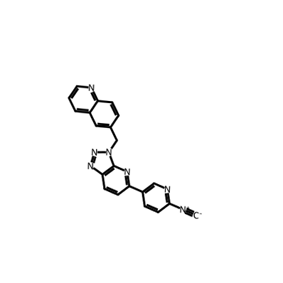 [C-]#[N+]c1ccc(-c2ccc3nnn(Cc4ccc5ncccc5c4)c3n2)cn1